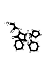 C=CC(=O)OC1C(=O)C2(CCCCC2)C(=O)C1OC1(OC2CCCCC2)CCCC1